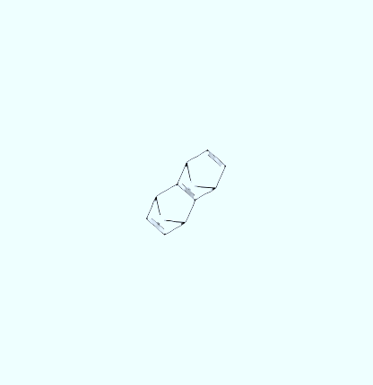 C1=CC2OC1C1=C2C2C=CC1O2